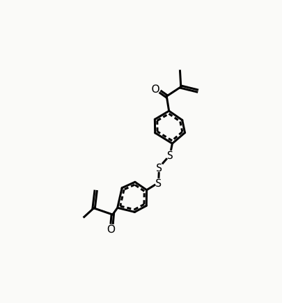 C=C(C)C(=O)c1ccc(SSSc2ccc(C(=O)C(=C)C)cc2)cc1